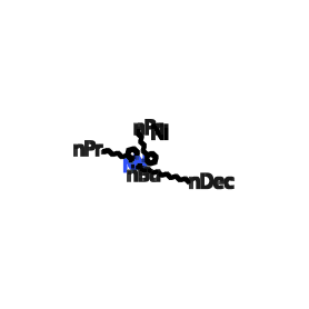 CCCC=CCCCc1ccccc1N=C(CCCC)C(CCCCCCCCCCCCCCCCCCCCC)=Nc1ccccc1CCCC=CCCC.[Ni]